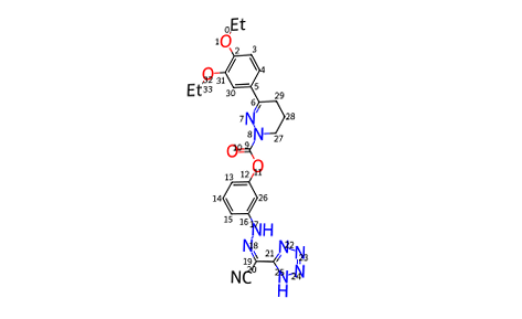 CCOc1ccc(C2=NN(C(=O)Oc3cccc(NN=C(C#N)c4nnn[nH]4)c3)CCC2)cc1OCC